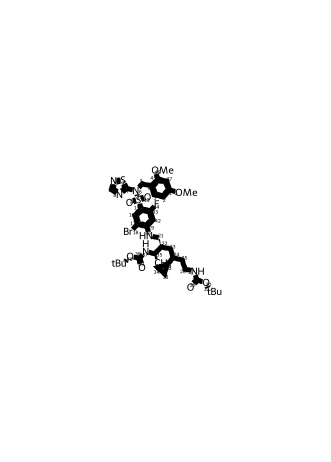 COc1ccc(CN(c2ncns2)S(=O)(=O)c2cc(Br)c(NC[C@H](CC(CCNC(=O)OC(C)(C)C)C3CC3)[C@@H](C)NC(=O)OC(C)(C)C)cc2F)c(OC)c1